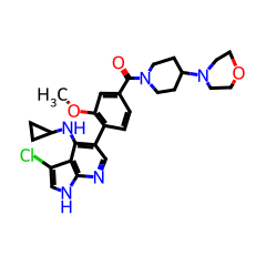 COc1cc(C(=O)N2CCC(N3CCOCC3)CC2)ccc1-c1cnc2[nH]cc(Cl)c2c1NC1CC1